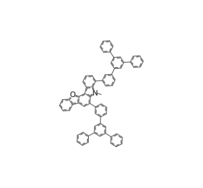 Cn1c2c(-c3cccc(-c4cc(-c5ccccc5)cc(-c5ccccc5)c4)c3)cccc2c2c3oc4ccccc4c3cc(-c3cccc(-c4cc(-c5ccccc5)cc(-c5ccccc5)c4)c3)c21